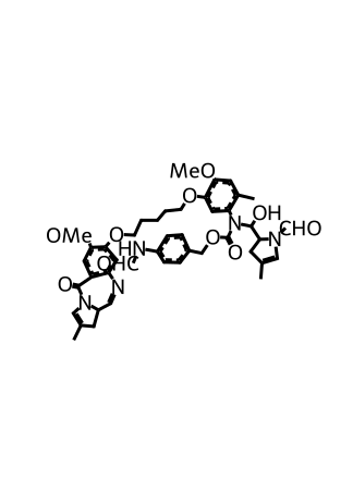 COc1cc2c(cc1OCCCCCOc1cc(N(C(=O)OCc3ccc(NC=O)cc3)C(O)C3CC(C)=CN3C=O)c(C)cc1OC)N=CC1CC(C)=CN1C2=O